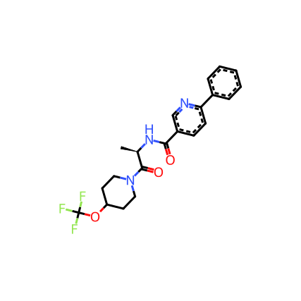 C[C@@H](NC(=O)c1ccc(-c2ccccc2)nc1)C(=O)N1CCC(OC(F)(F)F)CC1